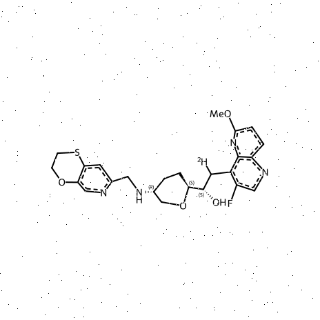 [2H]C(c1c(F)cnc2ccc(OC)nc12)[C@H](O)[C@@H]1CC[C@@H](NCc2cc3c(cn2)OCCS3)CO1